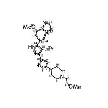 COCCN1CCC(c2cnc(-c3n[nH]c(-c4cc(OC)c5ncnn5c4)c3C(C)C)s2)CC1